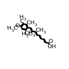 COc1cc(C)c(C=C(C)C(C)=CC=CC=CC(=O)O)c(C)c1C